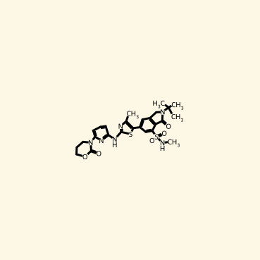 CNS(=O)(=O)c1cc(-c2sc(Nc3cccc(N4CCCOC4=O)n3)nc2C)cc2c1C(=O)N(C(C)(C)C)C2